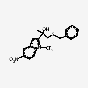 CC(O)(CSCc1ccccc1)c1cc2cc([N+](=O)[O-])ccc2n1C(F)(F)F